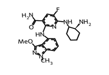 COc1nn(C)c2cccc(Nc3nc(N[C@@H]4CCCC[C@@H]4N)c(F)cc3C(N)=O)c12